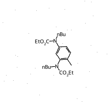 CCCCN(C(=O)OCC)c1ccc(C)c(N(CCCC)C(=O)OCC)c1